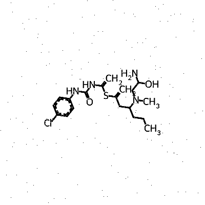 C=C(CC(CCC)N(C)CC(N)O)SC(=C)NC(=O)Nc1ccc(Cl)cc1